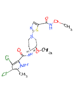 CONC(=O)c1cnc(N2CC[C@@H](NC(=O)c3[nH]c(C)c(Cl)c3Cl)[C@H](OC)C2)s1